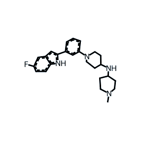 CN1CCC(NC2CCN(c3cccc(-c4cc5cc(F)ccc5[nH]4)c3)CC2)CC1